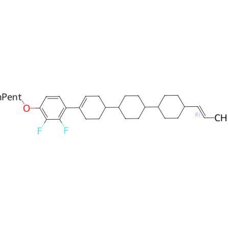 C/C=C/C1CCC(C2CCC(C3CC=C(c4ccc(OCCCCC)c(F)c4F)CC3)CC2)CC1